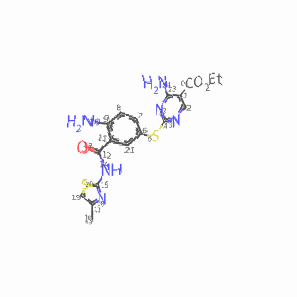 CCOC(=O)c1cnc(Sc2ccc(N)c(C(=O)Nc3nc(C)cs3)c2)nc1N